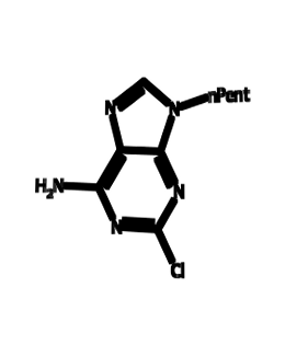 CCCCCn1cnc2c(N)nc(Cl)nc21